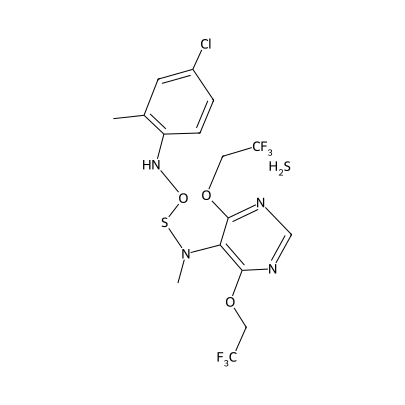 Cc1cc(Cl)ccc1NOSN(C)c1c(OCC(F)(F)F)ncnc1OCC(F)(F)F.S